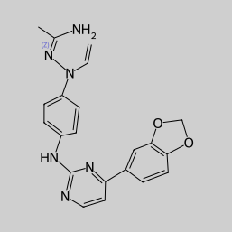 C=CN(/N=C(/C)N)c1ccc(Nc2nccc(-c3ccc4c(c3)OCO4)n2)cc1